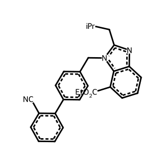 CCOC(=O)c1cccc2nc(CC(C)C)n(Cc3ccc(-c4ccccc4C#N)cc3)c12